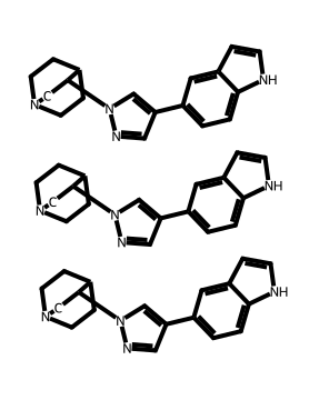 c1cc2cc(-c3cnn(C4CN5CCC4CC5)c3)ccc2[nH]1.c1cc2cc(-c3cnn(C4CN5CCC4CC5)c3)ccc2[nH]1.c1cc2cc(-c3cnn(C4CN5CCC4CC5)c3)ccc2[nH]1